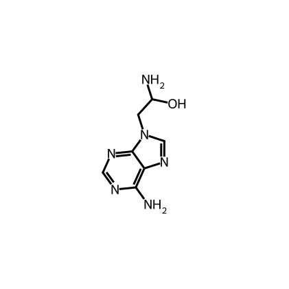 Nc1ncnc2c1ncn2CC(N)O